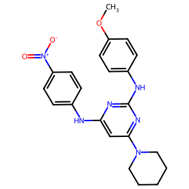 COc1ccc(Nc2nc(Nc3ccc([N+](=O)[O-])cc3)cc(N3CCCCC3)n2)cc1